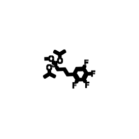 CO[Si](CCCc1cc(F)c(F)c(F)c1F)(OC(C)C)OC(C)C